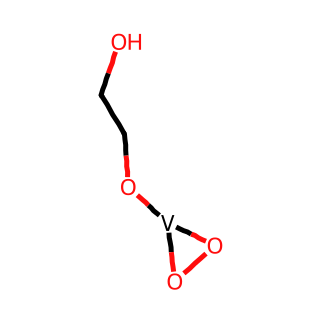 OCC[O][V]1[O][O]1